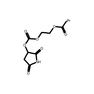 CC(C)C(=O)OCCOC(=O)OC1CC(=O)NC1=O